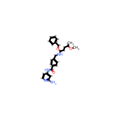 COC(C)CCC(NCc1ccc(C(=O)Nc2ccnc(N)c2)cc1)OCc1ccccc1